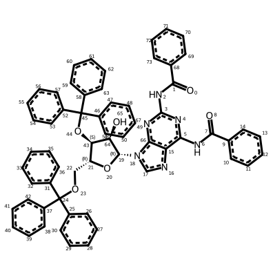 O=C(Nc1nc(NC(=O)c2ccccc2)c2ncn([C@@H]3O[C@H](COC(c4ccccc4)(c4ccccc4)c4ccccc4)[C@@H](OC(c4ccccc4)(c4ccccc4)c4ccccc4)[C@H]3O)c2n1)c1ccccc1